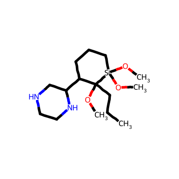 CCCC1(OC)C(C2CNCCN2)CCC[Si]1(OC)OC